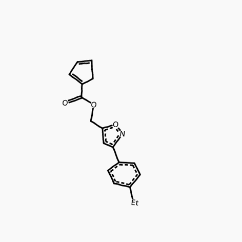 CCc1ccc(-c2cc(COC(=O)C3=CC=CC3)on2)cc1